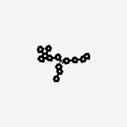 c1ccc(-c2ccc3cc(N(c4ccc(-c5ccc(-c6ccc7ccccc7c6)cc5)cc4)c4cccc(-c5ccc6c(c5)c(-c5ccccc5)c(-c5ccccc5)c5ccccc56)c4)ccc3c2)cc1